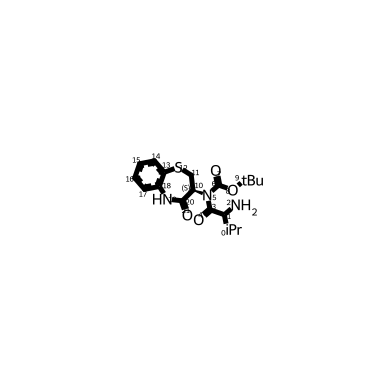 CC(C)C(N)C(=O)N(C(=O)OC(C)(C)C)[C@@H]1CSc2ccccc2NC1=O